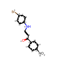 O=C(C=CNc1ccc(Br)cc1)c1ccc([N+](=O)[O-])cc1